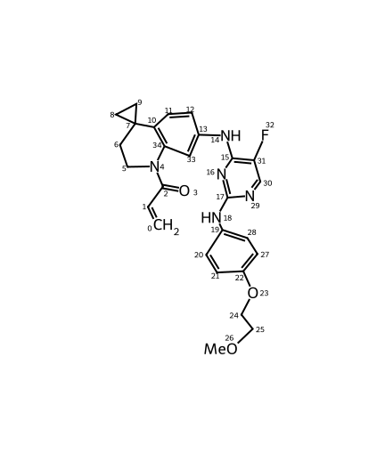 C=CC(=O)N1CCC2(CC2)c2ccc(Nc3nc(Nc4ccc(OCCOC)cc4)ncc3F)cc21